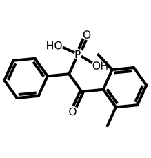 Cc1cccc(C)c1C(=O)C(c1ccccc1)P(=O)(O)O